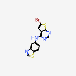 Brc1cc2c(Nc3ccc4scnc4c3)ncnc2s1